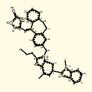 CCCc1nc2c(C)cc(-c3nc4ccccc4n3C)cc2n1Cc1ccc2c(c1)CCc1ccccc1/C2=C\c1noc(=O)[nH]1